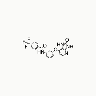 O=C(Nc1cccc(Oc2ccnc3[nH]c(=O)[nH]c23)c1)c1ccc(C(F)(F)F)cc1